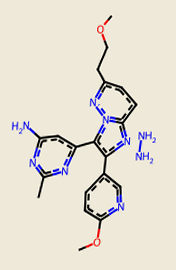 COCCc1ccc2nc(-c3ccc(OC)nc3)c(-c3cc(N)nc(C)n3)n2n1.NN